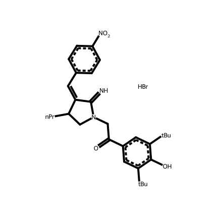 Br.CCCC1CN(CC(=O)c2cc(C(C)(C)C)c(O)c(C(C)(C)C)c2)C(=N)C1=Cc1ccc([N+](=O)[O-])cc1